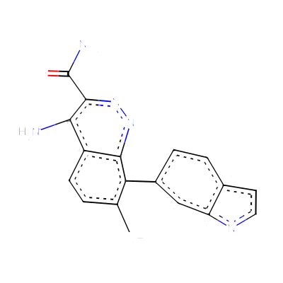 Cc1ccc2c(N)c(C(N)=O)nnc2c1-c1ccc2cc[nH]c2c1